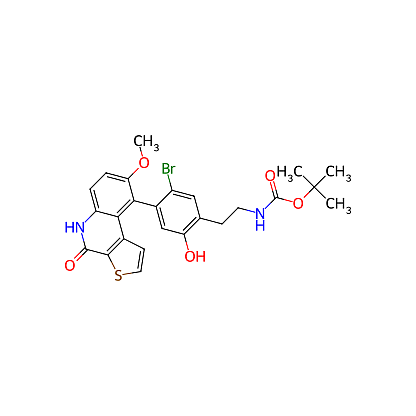 COc1ccc2[nH]c(=O)c3sccc3c2c1-c1cc(O)c(CCNC(=O)OC(C)(C)C)cc1Br